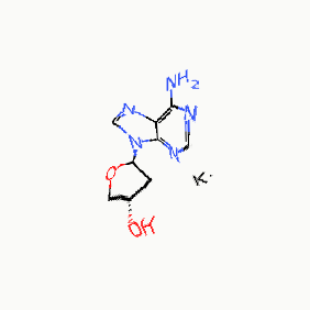 Nc1ncnc2c1ncn2[C@H]1C[C@H](O)CO1.[K]